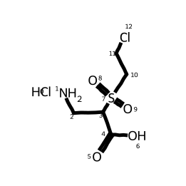 Cl.NCC(C(=O)O)S(=O)(=O)CCCl